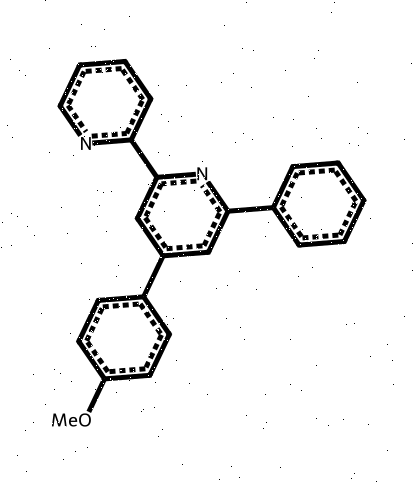 COc1ccc(-c2cc(-c3ccccc3)nc(-c3ccccn3)c2)cc1